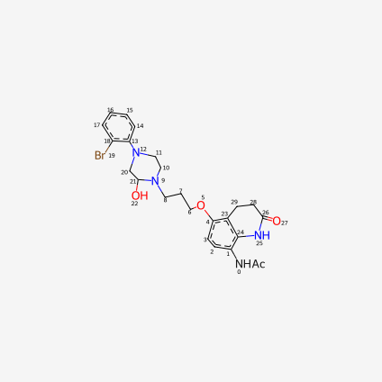 CC(=O)Nc1ccc(OCCCN2CCN(c3ccccc3Br)CC2O)c2c1NC(=O)CC2